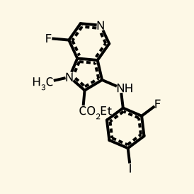 CCOC(=O)c1c(Nc2ccc(I)cc2F)c2cncc(F)c2n1C